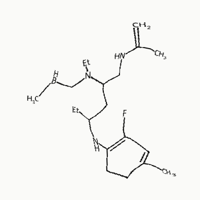 C=C(C)NCC(CC(CC)NC1=C(F)C=C(C)CC1)N(CC)CBC